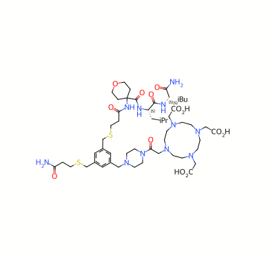 CC[C@H](C)[C@H](NC(=O)[C@H](CC(C)C)NC(=O)C1(NC(=O)CCSCc2cc(CSCCC(N)=O)cc(CN3CCN(C(=O)CN4CCN(CC(=O)O)CCN(CC(=O)O)CCN(CC(=O)O)CC4)CC3)c2)CCOCC1)C(N)=O